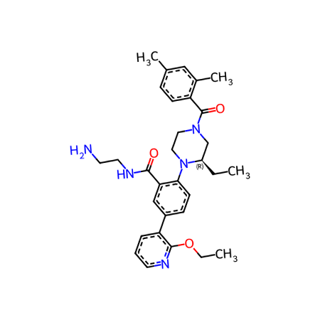 CCOc1ncccc1-c1ccc(N2CCN(C(=O)c3ccc(C)cc3C)C[C@H]2CC)c(C(=O)NCCN)c1